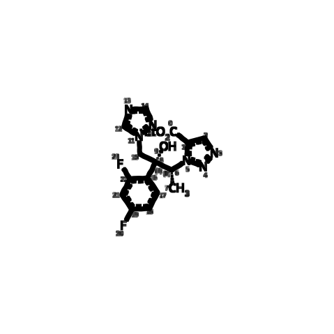 CCOC(=O)c1cnnn1[C@H](C)[C@](O)(Cn1cncn1)c1ccc(F)cc1F